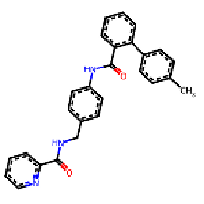 Cc1ccc(-c2ccccc2C(=O)Nc2ccc(CNC(=O)c3ccccn3)cc2)cc1